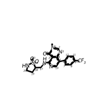 Cn1cnc2c(-c3ccc(C(F)(F)F)cc3)cnc(NCC3CCNS3(=O)=O)c2c1=O